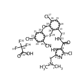 CN(C)Cc1nc(Cl)c(C(=O)NCc2ccc(Cl)c(Oc3cc(Cl)cc(C#N)c3)c2F)[nH]1.O=C(O)C(F)(F)F